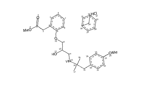 COC(=O)Cc1ccccc1OCC(O)CNC(C)(C)Cc1ccc(OC)cc1.Cl.c1cc2cc(c1)C2